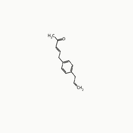 C=CCc1ccc(CC=CC(C)=O)cc1